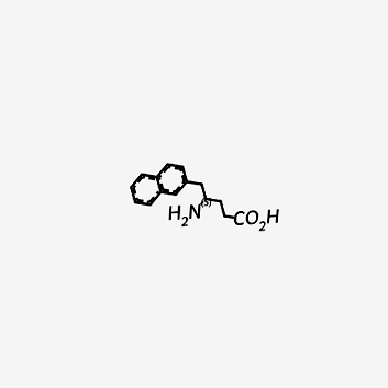 N[C@@H](CCC(=O)O)Cc1ccc2ccccc2c1